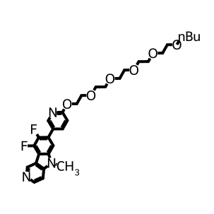 CCCCOCCOCCOCCOCCOCCOc1ccc(-c2cc3c(c(F)c2F)c2cnccc2n3C)cn1